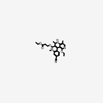 CCOC(=O)CCOC(=O)C1=C(c2ccc(C#N)cc2OC)c2c(OCC)ncc(C)c2NC1C